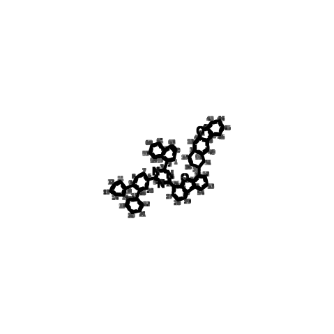 c1cc(-c2nc(-c3ccc(-c4ccccc4)c(-c4ccccc4)c3)nc(-c3cccc4c3oc3c(C5C=Cc6cc7oc8ccccc8c7cc6C5)cccc34)n2)c2ccccc2c#1